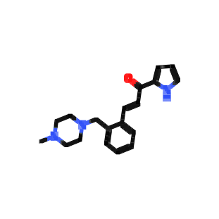 CN1CCN(Cc2ccccc2/C=C/C(=O)c2ccc[nH]2)CC1